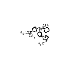 C=C(C1CCCCC1)N(CC1CCC(c2ccc(CC)c(C)c2)CC1)c1cccc(N2CCC(CC)C2)c1